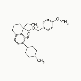 CCC1(C(=O)OCc2ccc(OC)cc2)CCCc2ccc(C3CCC(C)CC3)c(F)c21